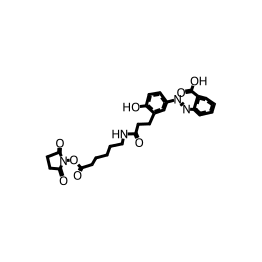 O=C(CCc1cc(N=Nc2ccccc2C(=O)O)ccc1O)NCCCCCC(=O)ON1C(=O)CCC1=O